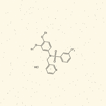 CCOc1ccc(N(Cc2cccnc2)S(=O)(=O)c2cccc(C(F)(F)F)c2)cc1OCC.Cl